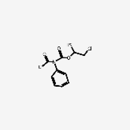 O=C(Cl)N(C(=O)OC(S)CCl)c1ccccc1